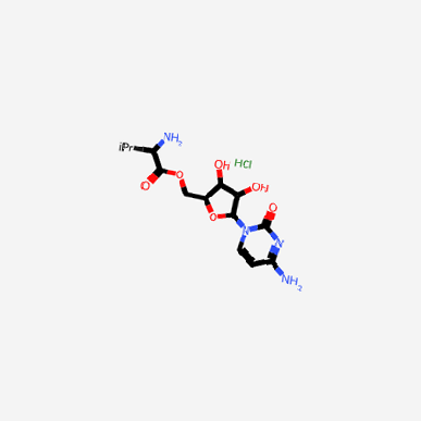 CC(C)C(N)C(=O)OCC1OC(n2ccc(N)nc2=O)C(O)C1O.Cl